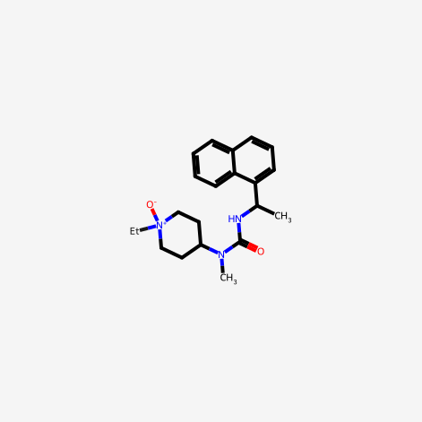 CC[N+]1([O-])CCC(N(C)C(=O)NC(C)c2cccc3ccccc23)CC1